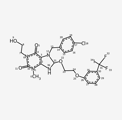 Cn1c2c(c(=O)n(CCO)c1=O)N(Cc1ccc(Cl)cc1)C(OCCOc1cccc(C(F)(F)I)c1)N2